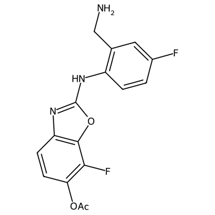 CC(=O)Oc1ccc2nc(Nc3ccc(F)cc3CN)oc2c1F